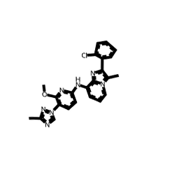 COc1nc(Nc2cccn3c(C)c(-c4ccccc4Cl)nc23)ccc1-n1cnc(C)n1